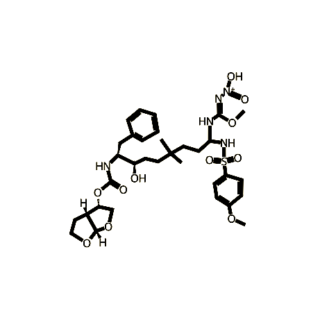 COC(=N[N+](=O)O)NC(CCC(C)(C)CC[C@@H](O)[C@H](Cc1ccccc1)NC(=O)O[C@@H]1CO[C@@H]2OCC[C@@H]21)NS(=O)(=O)c1ccc(OC)cc1